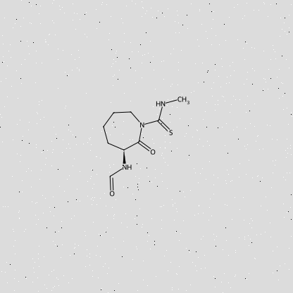 CNC(=S)N1CCCC[C@H](NC=O)C1=O